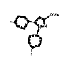 COc1cc(-c2ccc(C)cc2)n(-c2ccc(F)cc2)n1